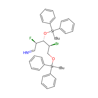 CC(C)(C)[Si](OC[C@H](Br)[C@@H](O[Si](c1ccccc1)(c1ccccc1)C(C)(C)C)[C@H](F)C=N)(c1ccccc1)c1ccccc1